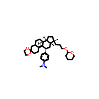 CN(C)c1ccc([C@H]2C[C@]3(C)[C@@H](CC[C@]3(C)CCCOC3CCCCO3)[C@@H]3CCC4CC5(CCC4=C32)OCCO5)cc1